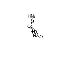 CC(=O)c1cnc2c(c1)c(C)c1n2CCN(C(=O)CCOCC2CCN2)C1